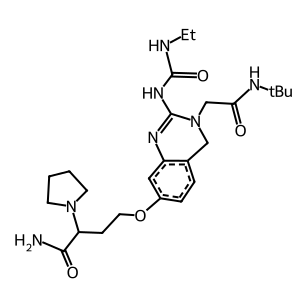 CCNC(=O)NC1=Nc2cc(OCCC(C(N)=O)N3CCCC3)ccc2CN1CC(=O)NC(C)(C)C